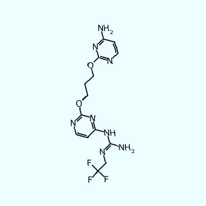 NC(=NCC(F)(F)F)Nc1ccnc(OCCCOc2nccc(N)n2)n1